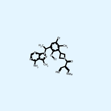 CCOc1c(C(C)n2nc(C)c3c(N)ncnc32)cc(CC)c(C)c1C1CN(C(=O)/C(C=N)=C/NC)C1